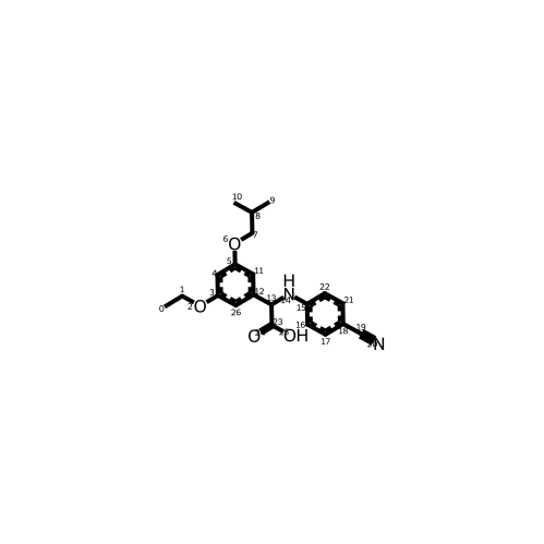 CCOc1cc(OCC(C)C)cc(C(Nc2ccc(C#N)cc2)C(=O)O)c1